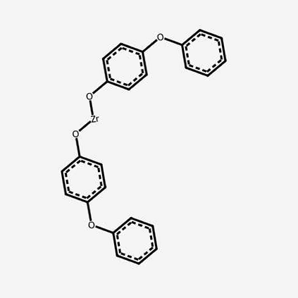 c1ccc(Oc2ccc([O][Zr][O]c3ccc(Oc4ccccc4)cc3)cc2)cc1